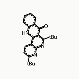 CC(C)(C)c1ccc2c(n1)nc(C(C)(C)C)c1c(=O)c3ccccc3[nH]c12